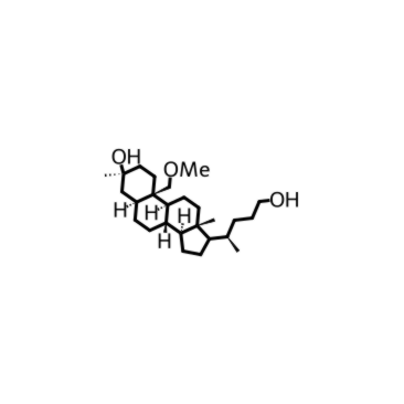 COC[C@]12CC[C@](C)(O)C[C@@H]1CC[C@@H]1[C@@H]2CC[C@]2(C)C([C@H](C)CCCO)CC[C@@H]12